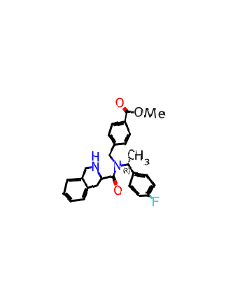 COC(=O)c1ccc(CN(C(=O)C2Cc3ccccc3CN2)[C@H](C)c2ccc(F)cc2)cc1